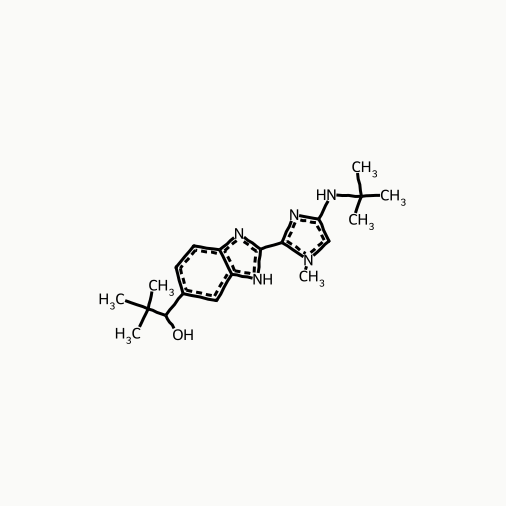 Cn1cc(NC(C)(C)C)nc1-c1nc2ccc(C(O)C(C)(C)C)cc2[nH]1